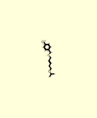 CC(C)OCCC=CCSCc1ccc(Cl)cc1